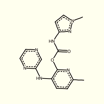 Cc1ccc(Nc2cnccn2)c(OC(=O)Nc2ccn(C)n2)n1